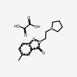 Cc1ccc2sn(CCN3CCCC3)c(=O)c2c1.O=C(O)C(=O)O